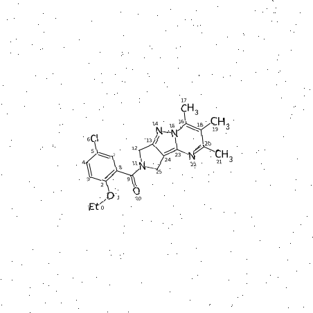 CCOc1ccc(Cl)cc1C(=O)N1Cc2nn3c(C)c(C)c(C)nc3c2C1